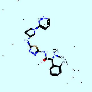 Cc1ccccc1C(C(=O)Nc1nnc(N[C@@H]2CCN(c3cccnn3)C2)s1)N(C)C